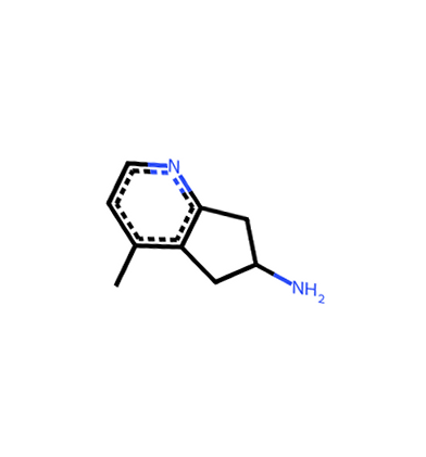 Cc1ccnc2c1CC(N)C2